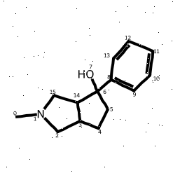 CN1CC2CCC(O)(c3ccccc3)C2C1